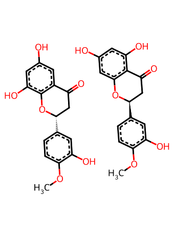 COc1ccc([C@@H]2CC(=O)c3c(O)cc(O)cc3O2)cc1O.COc1ccc([C@H]2CC(=O)c3cc(O)cc(O)c3O2)cc1O